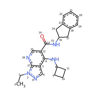 CCn1ncc2c(NC3CCC3)c(C(=O)NC3Cc4ccccc4C3)cnc21